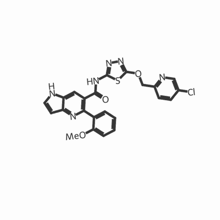 COc1ccccc1-c1nc2cc[nH]c2cc1C(=O)Nc1nnc(OCc2ccc(Cl)cn2)s1